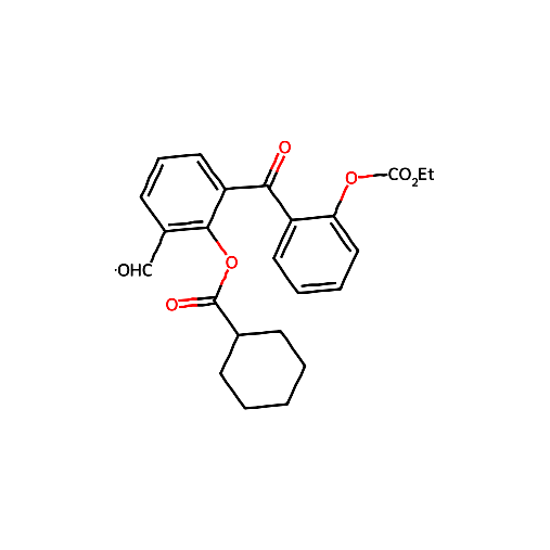 CCOC(=O)Oc1ccccc1C(=O)c1cccc([C]=O)c1OC(=O)C1CCCCC1